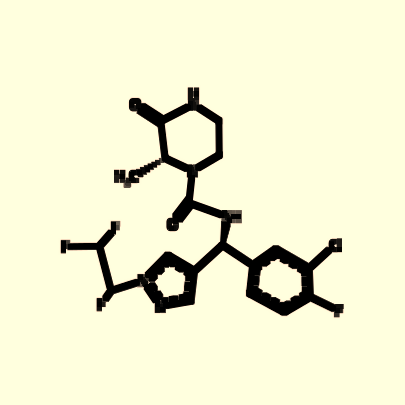 C[C@@H]1C(=O)NCCN1C(=O)N[C@@H](c1ccc(F)c(Cl)c1)c1cnn(C(F)C(F)F)c1